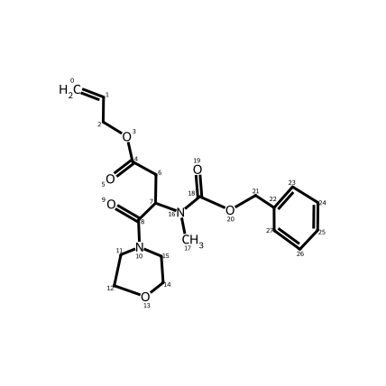 C=CCOC(=O)CC(C(=O)N1CCOCC1)N(C)C(=O)OCc1ccccc1